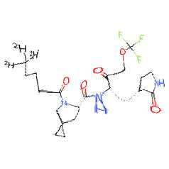 [2H]C([2H])([2H])CCCC(=O)N1CC2(CC2)C[C@H]1C(=O)N[C@@H](C[C@@H]1CCNC1=O)C(=O)COC(F)(F)F